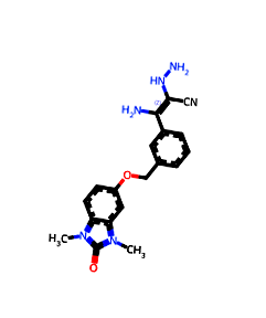 Cn1c(=O)n(C)c2cc(OCc3cccc(/C(N)=C(\C#N)NN)c3)ccc21